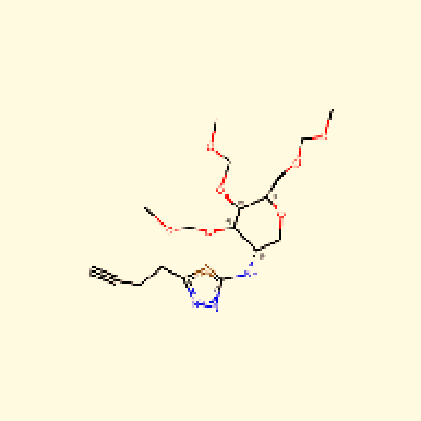 C#CCCc1nnc(N[C@H]2CO[C@H](COCOC)[C@H](OCOC)[C@@H]2OCOC)s1